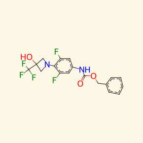 O=C(Nc1cc(F)c(N2CC(O)(C(F)(F)F)C2)c(F)c1)OCc1ccccc1